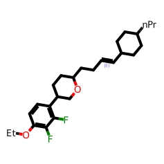 CCCC1CCC(/C=C/CCC2CCC(c3ccc(OCC)c(F)c3F)CO2)CC1